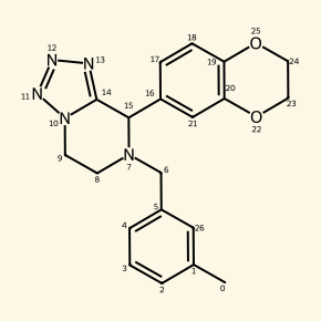 Cc1cccc(CN2CCn3nnnc3C2c2ccc3c(c2)OCCO3)c1